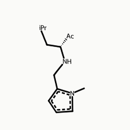 CC(=O)[C@@H](CC(C)C)NCc1cccn1C